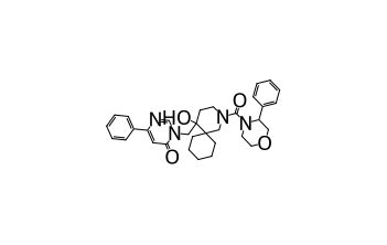 O=C(N1CCC(O)(Cn2cnc(-c3ccccc3)cc2=O)C2(CCCCC2)C1)N1CCOCC1c1ccccc1